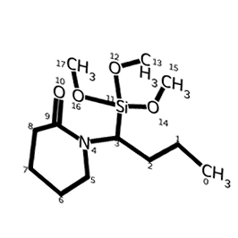 CCCC(N1CCCCC1=O)[Si](OC)(OC)OC